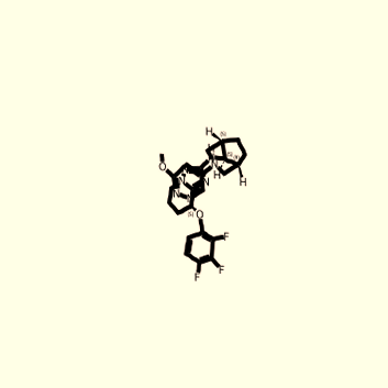 COc1cc(N2C[C@H]3CC[C@@H](C2)[C@@H]3Nc2nc3n(n2)CCC[C@@H]3Oc2ccc(F)c(F)c2F)cnn1